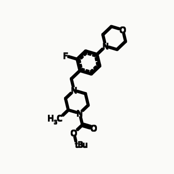 CC1CN(Cc2ccc(N3CCOCC3)cc2F)CCN1C(=O)OC(C)(C)C